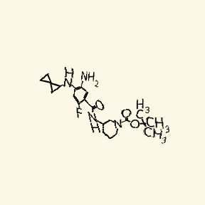 CC(C)(C)OC(=O)N1CCCC(NC(=O)c2cc(N)c(NC3CC34CC4)cc2F)C1